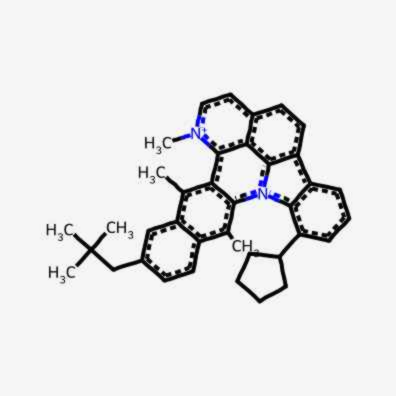 Cc1c2cc(CC(C)(C)C)ccc2c(C)c2c1c1c3c(ccc4c5cccc(C6CCCC6)c5n2c43)cc[n+]1C